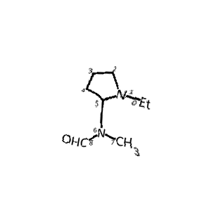 CCN1CCCC1N(C)C=O